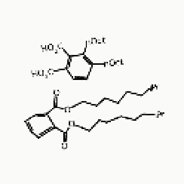 CC(C)CCCCCCOC(=O)c1ccccc1C(=O)OCCCCCCC(C)C.CCCCCCCCc1ccc(C(=O)O)c(C(=O)O)c1CCCCCCCC